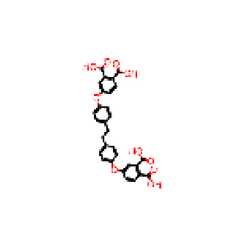 O=C(O)c1ccc(Oc2ccc(CCc3ccc(Oc4ccc(C(=O)O)c(C(=O)O)c4)cc3)cc2)cc1C(=O)O